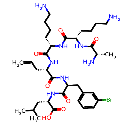 C=CC[C@H](NC(=O)[C@H](CCCCN)NC(=O)[C@H](CCCCN)NC(=O)[C@H](C)N)C(=O)N[C@@H](Cc1cccc(Br)c1)C(=O)N[C@@H](CC(C)C)C(=O)O